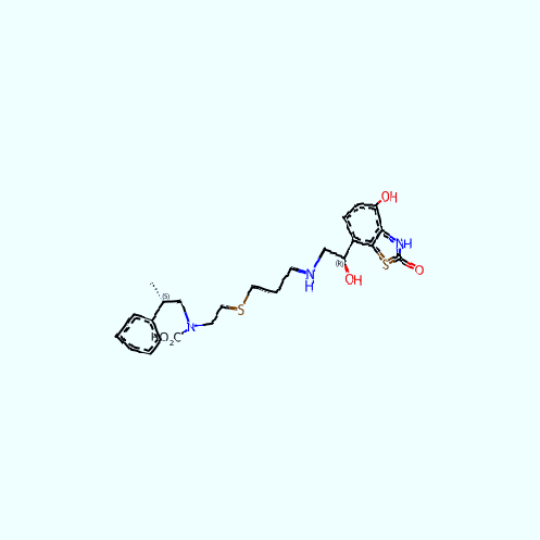 C[C@H](CN(CCSCCCNC[C@H](O)c1ccc(O)c2[nH]c(=O)sc12)C(=O)O)c1ccccc1